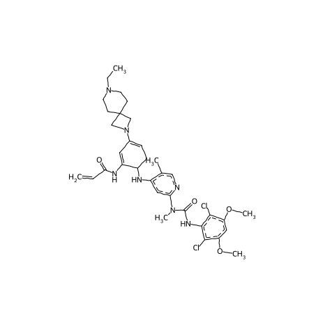 C=CC(=O)NC1=CC(N2CC3(CCN(CC)CC3)C2)=CCC1Nc1cc(N(C)C(=O)Nc2c(Cl)c(OC)cc(OC)c2Cl)ncc1C